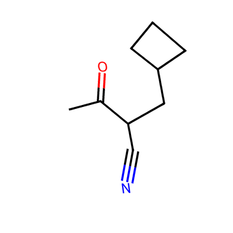 CC(=O)C(C#N)CC1CCC1